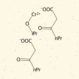 CC(C)[O][Cr+2].CCCC(=O)CC(=O)[O-].CCCC(=O)CC(=O)[O-]